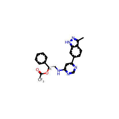 Cc1n[nH]c2cc(-c3cc(NC[C@H](OC(=O)C(F)(F)F)c4ccccc4)ncn3)ccc12